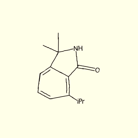 CC(C)c1cccc2c1C(=O)NC2(C)C